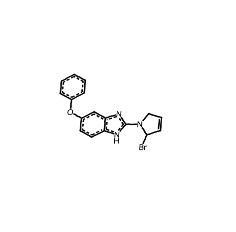 BrC1C=CCN1c1nc2cc(Oc3ccccc3)ccc2[nH]1